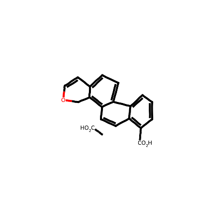 CC(=O)O.O=C(O)c1cccc2c1ccc1c3c(ccc12)C=COC3